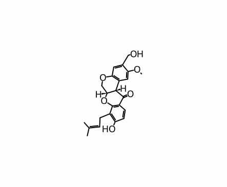 COc1cc2c(cc1CO)OC[C@H]1Oc3c(ccc(O)c3CC=C(C)C)C(=O)[C@@H]21